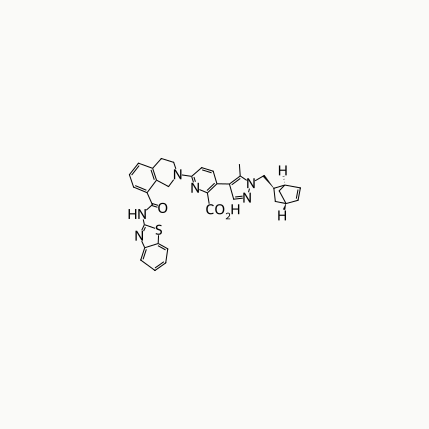 Cc1c(-c2ccc(N3CCc4cccc(C(=O)Nc5nc6ccccc6s5)c4C3)nc2C(=O)O)cnn1C[C@@H]1C[C@H]2C=C[C@H]1C2